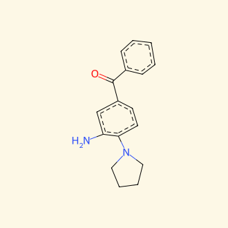 Nc1cc(C(=O)c2ccccc2)ccc1N1CCCC1